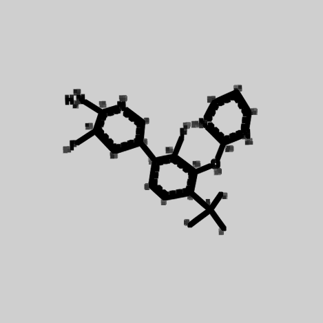 CC(C)(C)c1ccc(-c2cnc(N)c(F)c2)c(F)c1Oc1ncccn1